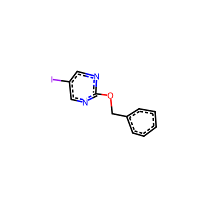 Ic1cnc(OCc2ccccc2)nc1